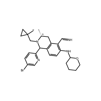 C[C@@H]1Cc2c(ccc(NC3CCCCO3)c2C=N)C(c2ccc(Br)cn2)N1CC1(F)CC1